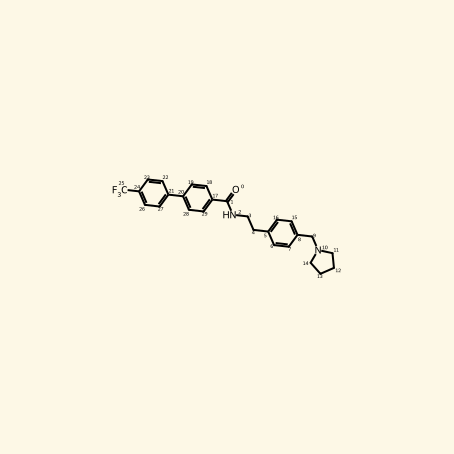 O=C(NCCc1ccc(CN2CCCC2)cc1)c1ccc(-c2ccc(C(F)(F)F)cc2)cc1